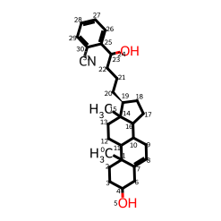 CC12CCC(O)CC1=CCC1C2CCC2(C)C1CC[C@@H]2CCCC(O)c1ccccc1C#N